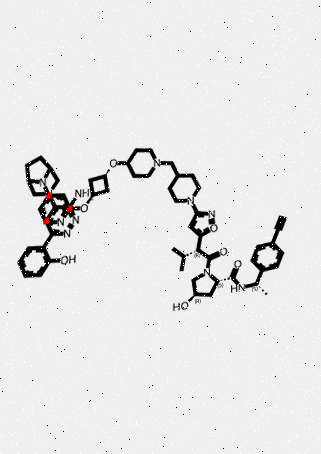 C#Cc1ccc([C@H](C)NC(=O)[C@@H]2C[C@@H](O)CN2C(=O)[C@@H](c2cc(N3CCC(CN4CCC(O[C@H]5C[C@H](Oc6cc(N7C8CCC7CN(c7cc(-c9ccccc9O)nnc7N)C8)ccn6)C5)CC4)CC3)no2)C(C)C)cc1